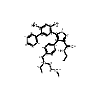 CCNC(=O)c1noc(-c2cc(-c3ccccc3)c(O)cc2O)c1-c1ccc(CN(CC)CCOC)cc1